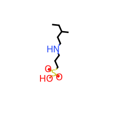 CCC(C)CCNCCCS(=O)(=O)O